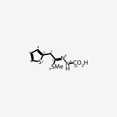 CS/C(Cc1cccs1)=N\NC(=O)O